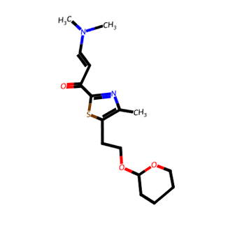 Cc1nc(C(=O)C=CN(C)C)sc1CCOC1CCCCO1